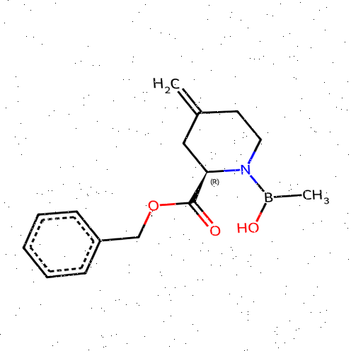 C=C1CCN(B(C)O)[C@@H](C(=O)OCc2ccccc2)C1